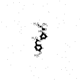 COc1ccc(CC(C)Oc2cccc(NC(=O)N(C)OC)c2)cc1